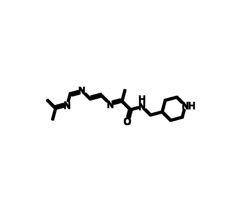 CC(C)=N\C=N/C=C/N=C(\C)C(=O)NCC1CCNCC1